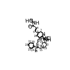 Cl.Cl.O=C(C=Cc1cnc(N[C@@H]2CCN(CC(F)(F)c3ccccc3)C2)c(F)c1)NO